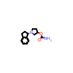 NC(=O)OC1CCN([C@H]2CCc3ccccc32)C1